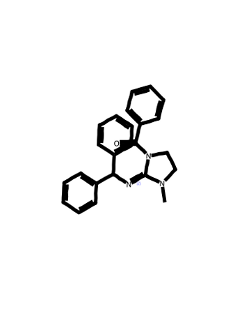 CN1CCN(C(=O)c2ccccc2)/C1=N\C(c1ccccc1)c1ccccc1